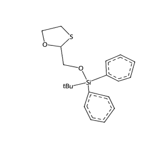 CC(C)(C)[Si](OCC1OCCS1)(c1ccccc1)c1ccccc1